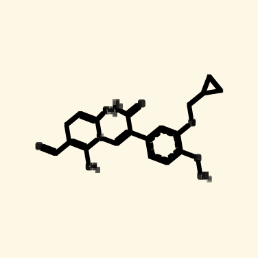 COc1ccc(/C(=C/N2C(C)=CCC(C=O)=C2C)C(N)=O)cc1OCC1CC1